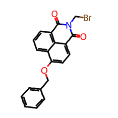 O=C1c2cccc3c(OCc4ccccc4)ccc(c23)C(=O)N1CBr